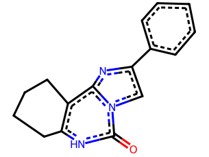 O=c1[nH]c2c(c3nc(-c4ccccc4)cn13)CCCC2